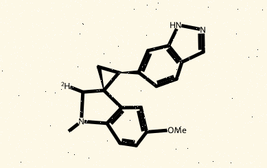 [2H]C1N(C)c2ccc(OC)cc2[C@]12C[C@H]2c1ccc2cn[nH]c2c1